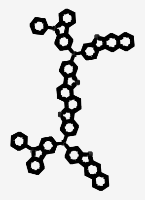 c1ccc(-n2c3ccccc3c3cc(N(c4ccc5c(c4)oc4cc6ccccc6cc45)c4ccc5c(c4)oc4c5ccc5c4ccc4c6ccc(N(c7ccc8c(c7)oc7cc9ccccc9cc78)c7ccc8c(c7)c7ccccc7n8-c7ccccc7)cc6oc45)ccc32)cc1